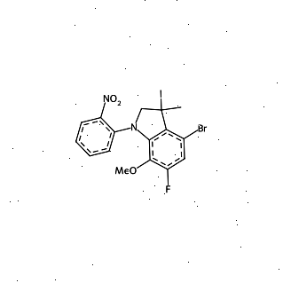 COc1c(F)cc(Br)c2c1N(c1ccccc1[N+](=O)[O-])CC2(C)C